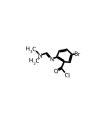 CN(C)/C=N/c1ccc(Br)cc1C(=O)Cl